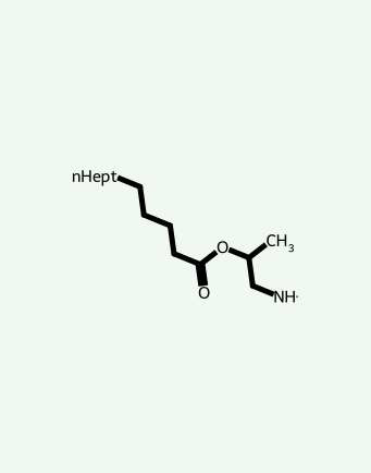 CCCCCCCCCCCC(=O)OC(C)C[NH]